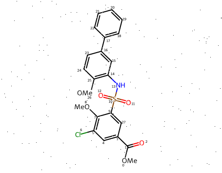 COC(=O)c1cc(Cl)c(OC)c(S(=O)(=O)Nc2cc(-c3ccccc3)ccc2OC)c1